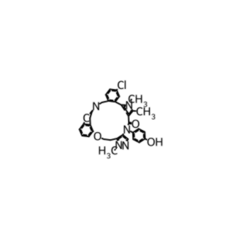 Cc1c2cc(n1C)-c1cc(Cl)ccc1CN1CCc3c(cccc3OCCc3c(cnn3C)N(c3ccc(O)cc3)C2=O)C1